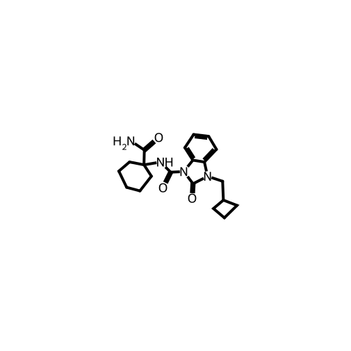 NC(=O)C1(NC(=O)n2c(=O)n(CC3CCC3)c3ccccc32)CCCCC1